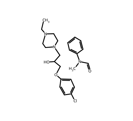 CCN1CCN(CC(O)COc2ccc(Cl)cc2)CC1.CN(C=O)c1ccccc1